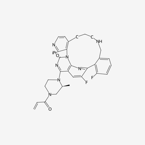 C=CC(=O)N1CCN(c2nc(=O)n3c4nc(c(F)cc24)-c2c(F)cccc2CNCCCc2ccnc(C(C)C)c2-3)[C@@H](C)C1